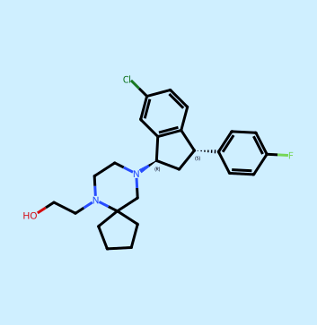 OCCN1CCN([C@@H]2C[C@@H](c3ccc(F)cc3)c3ccc(Cl)cc32)CC12CCCC2